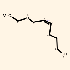 COCOC/C=C\CCCO